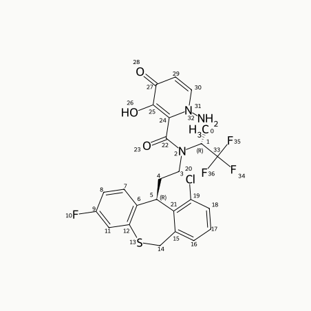 C[C@@H](N(CC[C@@H]1c2ccc(F)cc2SCc2cccc(Cl)c21)C(=O)c1c(O)c(=O)ccn1N)C(F)(F)F